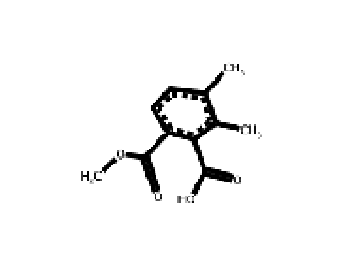 COC(=O)c1ccc(C)c(C)c1C(=O)O